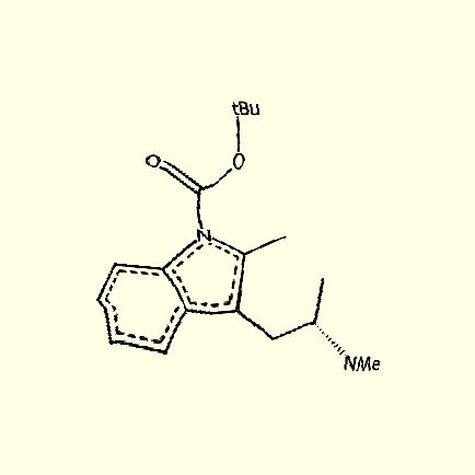 CN[C@@H](C)Cc1c(C)n(C(=O)OC(C)(C)C)c2ccccc12